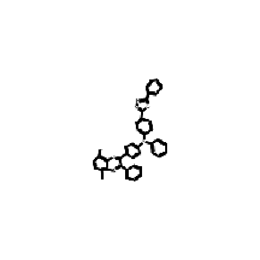 Cc1ccc(C)c2nc(-c3ccc(N(c4ccccc4)c4ccc(-c5nnc(-c6ccccc6)o5)cc4)cc3)c(-c3ccccc3)nc12